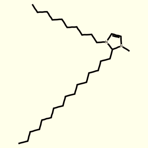 CCCCCCCCCCCCCCCCC1N(C)C=CN1CCCCCCCCCC